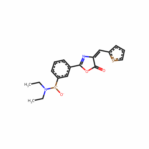 CCN(CC)[S+]([O-])c1cccc(C2=N/C(=C/c3cccs3)C(=O)O2)c1